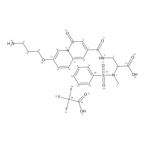 CN(C(CNC(=O)c1cc(=O)n2cc(OCCCN)ccc2c1)C(=O)O)S(=O)(=O)c1ccccc1.O=C(O)C(F)(F)F